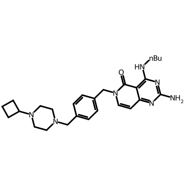 CCCCNc1nc(N)nc2ccn(Cc3ccc(CN4CCN(C5CCC5)CC4)cc3)c(=O)c12